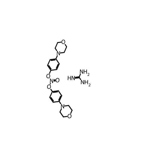 N=C(N)N.O=[N+](Oc1ccc(N2CCOCC2)cc1)Oc1ccc(N2CCOCC2)cc1